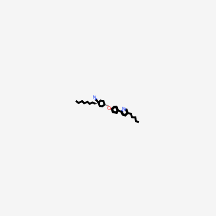 CCCCCCCC[C@]1(C#N)CC[C@H](COc2ccc(-c3ccc(CCCCC)cn3)cc2)CC1